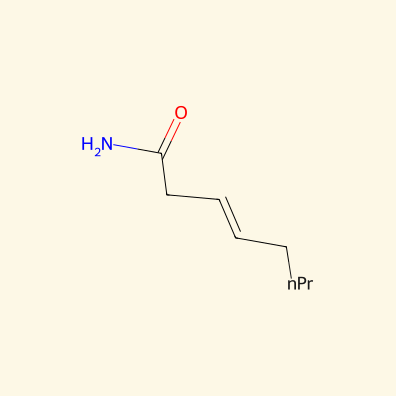 CCCC/C=C/CC(N)=O